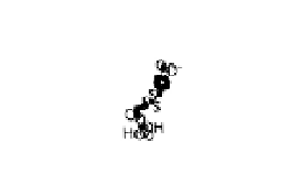 O=C(CCSC(=S)SCc1ccc([N+](=O)[O-])cc1)OCP(=O)(O)O